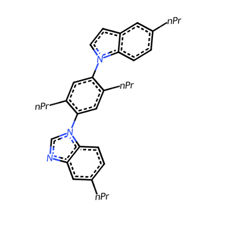 CCCc1ccc2c(ccn2-c2cc(CCC)c(-n3cnc4cc(CCC)ccc43)cc2CCC)c1